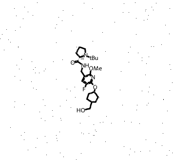 COc1nc(OC2CCC(CO)CC2)c(F)cc1CNC(=O)[C@@H]1CCCN1C(C)(C)C